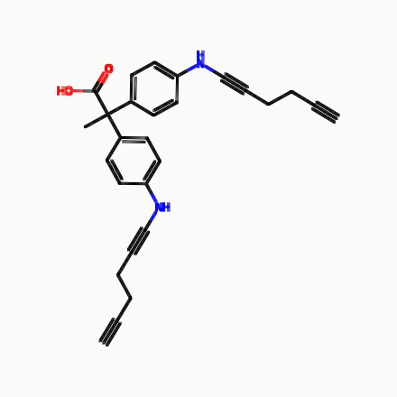 C#CCCC#CNc1ccc(C(C)(C(=O)O)c2ccc(NC#CCCC#C)cc2)cc1